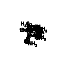 CC(=O)/N=C1\[C@H](C)C[C@@]2(C)OC/C(=N/OCc3cccc(N)n3)CC[C@H]([C@H]1C)[C@](C)(O)[C@@H](I)OC(=O)[C@H](C)C(=O)[C@H](C)[C@H]2O[C@@H]1O[C@H](C)C[C@H](N(C)C(C)(C)C)[C@H]1O